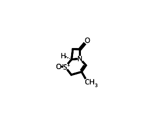 CC1=CN2C(=O)C[C@@H]2[S+]([O-])C1